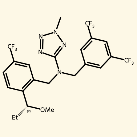 CC[C@@H](OC)c1ccc(C(F)(F)F)cc1CN(Cc1cc(C(F)(F)F)cc(C(F)(F)F)c1)c1nnn(C)n1